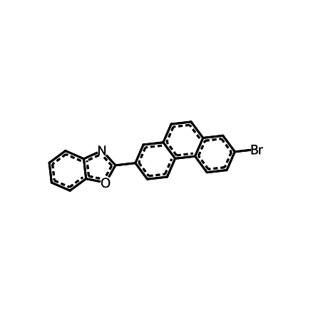 Brc1ccc2c(ccc3cc(-c4nc5ccccc5o4)ccc32)c1